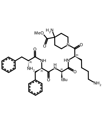 COC(=O)C1(N)CCN(C(=O)[C@@H](CCCCN)NC(=O)[C@H](NC(=O)[C@@H](Cc2ccccc2)NC(=O)[C@H](N)Cc2ccccc2)C(C)(C)C)CC1